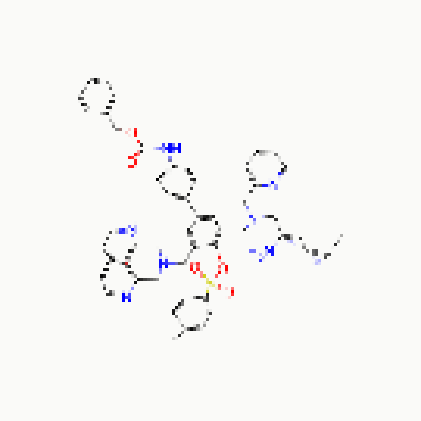 C/C=C\C=C(/N)CN(Cc1ccccn1)Cc1cc(-c2ccc(NC(=O)OCc3ccccc3)cc2)cc(CN(Cc2ccccn2)Cc2ccccn2)c1OS(=O)(=O)c1ccc(C)cc1